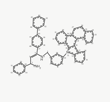 NC(/C=C(\NCc1cccc(-n2c3ccccc3c3c4c5ccccc5ccc4c4ccccc4c32)c1)c1ccc(-c2ccccc2)cc1)c1ccccc1